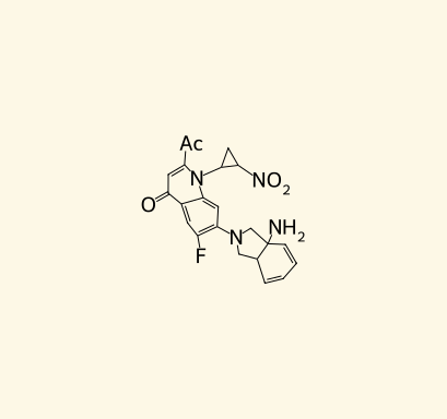 CC(=O)c1cc(=O)c2cc(F)c(N3CC4C=CC=CC4(N)C3)cc2n1C1CC1[N+](=O)[O-]